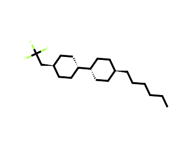 CCCCCC[C@H]1CC[C@H]([C@H]2CC[C@H](CC(F)(F)F)CC2)CC1